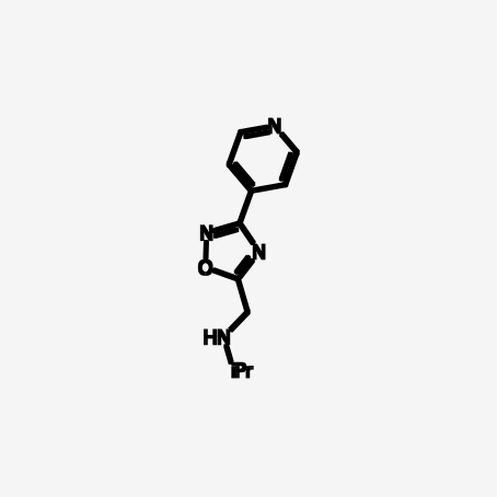 CC(C)NCc1nc(-c2ccncc2)no1